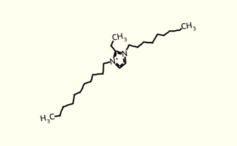 CCCCCCCCCCC[n+]1ccn(CCCCCCCCC)c1CC